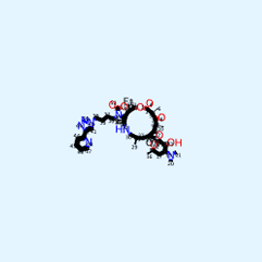 CC[C@H]1OC(=O)[C@H](C)C(=O)[C@H](C)[C@@H](O[C@@H]2O[C@H](C)CC(N(C)C)C2O)[C@](C)(OC)C[C@@H](C)CN[C@H](C)[C@H]2N(CCCCn3cc(-c4ccccn4)nn3)C(=O)O[C@]12C